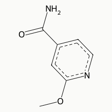 COc1cc(C(N)=O)ccn1